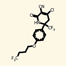 N#CC1=C(Cl)CC(c2ccc(OCCCC(F)(F)F)cc2)(C(F)(F)F)NC1=O